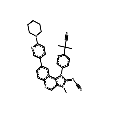 Cn1c(=NC#N)n(-c2ccc(C(C)(C)C#N)nc2)c2c3cc(-c4ccc(N5CCCCC5)nc4)ccc3ncc21